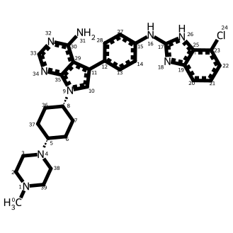 CN1CCN([C@H]2CC[C@@H](n3cc(-c4ccc(Nc5nc6cccc(Cl)c6[nH]5)cc4)c4c(N)ncnc43)CC2)CC1